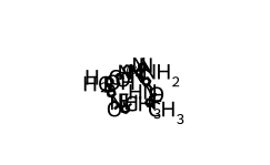 C=CC(=O)N1CCC[C@@H](n2nc(-c3ccc(CNC(=O)c4cccc(C)c4F)cc3)c3c(N)ncnc32)C1.Cc1cccc(C(=O)NCc2ccc(B(O)O)cc2)c1F